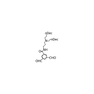 CCCCCCCCCCCCN(CCCCCCCCCCCC)CCCNC(=O)c1cc(C=O)cc(C=O)c1